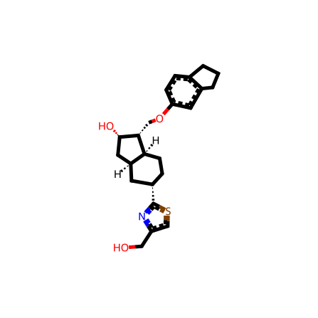 OCc1csc([C@H]2CC[C@H]3[C@@H](C2)C[C@H](O)[C@@H]3COc2ccc3c(c2)CCC3)n1